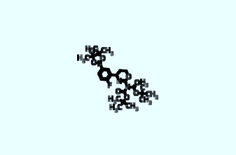 CC(C)(C)OC(=O)N(C(=O)OC(C)(C)C)C1=NC(c2cc(B3OC(C)(C)C(C)(C)O3)ccc2F)CCO1